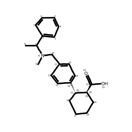 CC(c1ccccc1)N(C)Cc1ccc([C@H]2CCCC[C@@H]2C(=O)O)cc1